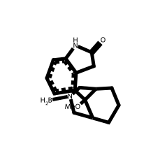 BN1CC2CCCC(C1)C2(OC)c1cccc2c1CC(=O)N2